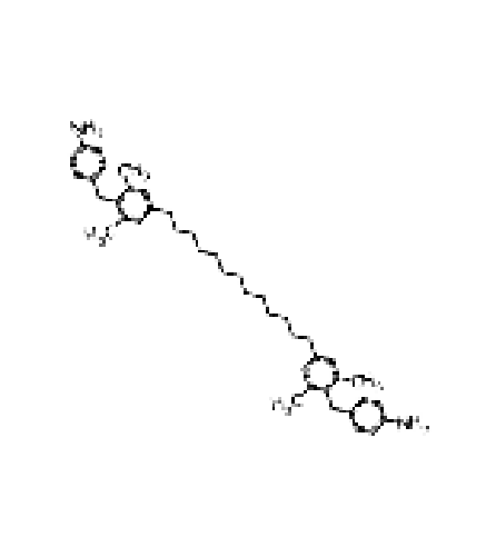 Cc1cc(CCCCCCCCCCCCCc2cc(C)c(Cc3ccc(N)cc3)c(C)c2)cc(C)c1Cc1ccc(N)cc1